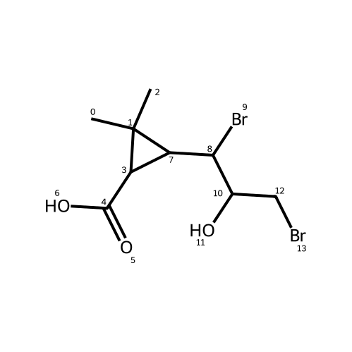 CC1(C)C(C(=O)O)C1C(Br)C(O)CBr